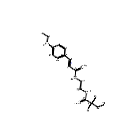 CCOc1ccc(/C=C/C(=O)OCCOC(=O)C(C)(C)CC)cc1